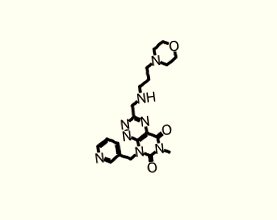 Cn1c(=O)c2nc(CNCCCN3CCOCC3)nnc2n(Cc2cccnc2)c1=O